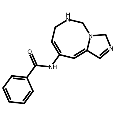 O=C(NC1=CCNCN2CN=CC2=C1)c1ccccc1